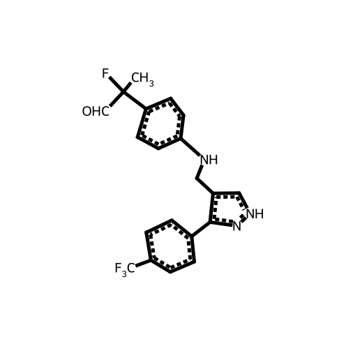 CC(F)(C=O)c1ccc(NCc2c[nH]nc2-c2ccc(C(F)(F)F)cc2)cc1